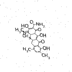 Cc1cc(C)c2c(c1O)C(=O)C1=C(O)C3C(=O)C(C(N)=O)=C(O)[C@@H](N(C)C)C3CC1C2